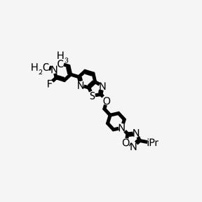 C=N/C(F)=C\C(=C/C)c1ccc2nc(OCC3CCN(c4nc(C(C)C)no4)CC3)sc2n1